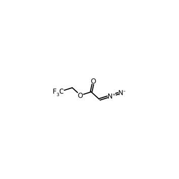 [N-]=[N+]=CC(=O)OCC(F)(F)F